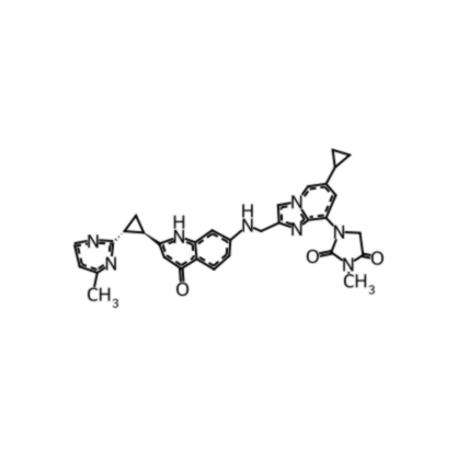 Cc1ccnc([C@@H]2C[C@H]2c2cc(=O)c3ccc(NCc4cn5cc(C6CC6)cc(N6CC(=O)N(C)C6=O)c5n4)cc3[nH]2)n1